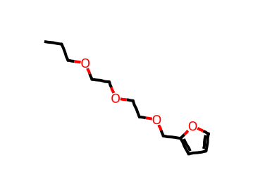 CCCOCCOCCOCc1ccco1